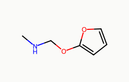 CNCOc1ccco1